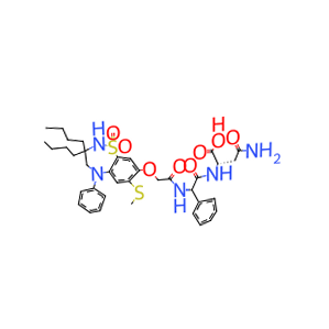 CCCCC1(CCCC)CN(c2ccccc2)c2cc(SC)c(OCC(=O)N[C@@H](C(=O)N[C@@H](CC(N)=O)C(=O)O)c3ccccc3)cc2S(=O)(=O)N1